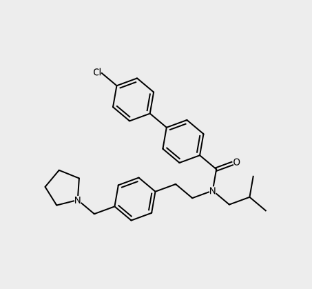 CC(C)CN(CCc1ccc(CN2CCCC2)cc1)C(=O)c1ccc(-c2ccc(Cl)cc2)cc1